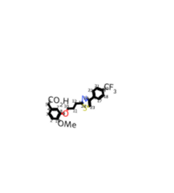 COc1ccc(CC(=O)O)cc1OCCCc1nc(-c2ccc(C(F)(F)F)cc2)cs1